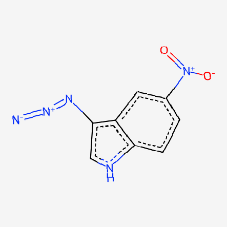 [N-]=[N+]=Nc1c[nH]c2ccc([N+](=O)[O-])cc12